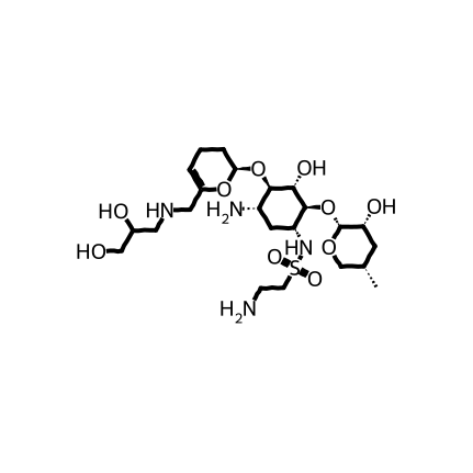 C[C@@H]1CO[C@H](O[C@@H]2[C@@H](O)[C@H](O[C@@H]3CCC=C(CNCC(O)CO)O3)[C@@H](N)C[C@H]2NS(=O)(=O)CCN)[C@H](O)C1